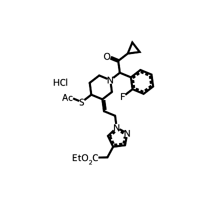 CCOC(=O)Cc1cnn(C/C=C2\CN(C(C(=O)C3CC3)c3ccccc3F)CCC2SC(C)=O)c1.Cl